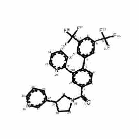 O=C(c1ccc(-c2cc(C(F)(F)F)cc(C(F)(F)F)c2)c(-c2ccccn2)c1)N1CCC(c2cccnc2)C1